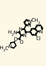 CN1CCC(OC(=O)c2nc(-c3cc(Cl)c4ncccc4c3)c(-c3ccn(C)n3)nc2N)C1